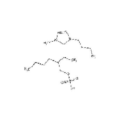 CCCCC(CC)COS(=O)(=O)O.CCCCN1C=CN(C)C1